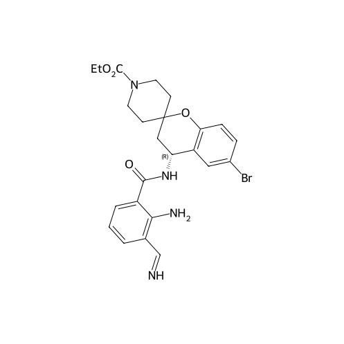 CCOC(=O)N1CCC2(CC1)C[C@@H](NC(=O)c1cccc(C=N)c1N)c1cc(Br)ccc1O2